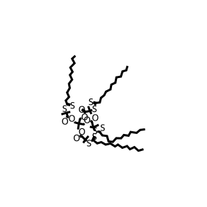 CCCCCCCCCCCCC(=S)SC(C)(C)C(=O)OCC(COC(=O)C(C)(C)SC(=S)CCCCCCCCCCCC)(COC(=O)C(C)(C)SC(=S)CCCCCCCCCCCC)COC(=O)C(C)(C)SC(=S)CCCCCCCCCCCC